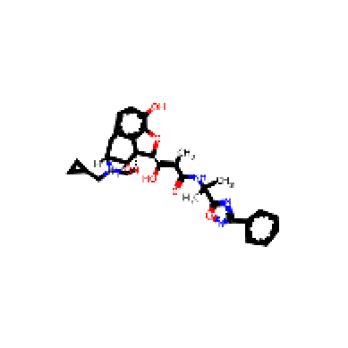 C/C(C(=O)NC(C)(C)c1nc(-c2ccccc2)no1)=C(/O)[C@@H]1Oc2c(O)ccc3c2[C@@]12CCN(CC1CC1)[C@H](C3)[C@@]2(C)O